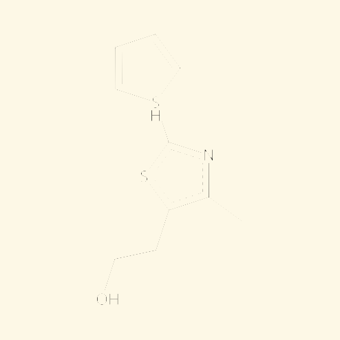 Cc1nc([SH]2C=CC=C2)sc1CCO